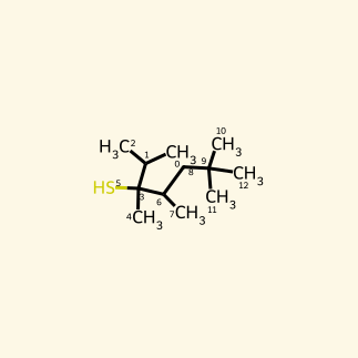 CC(C)C(C)(S)C(C)CC(C)(C)C